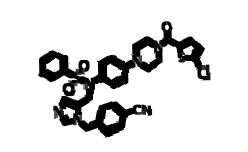 N#Cc1ccc(Cn2cncc2CN(c2ccc(N3CCN(C(=O)c4ccc(Cl)s4)CC3)cc2)S(=O)(=O)c2ccccc2)cc1